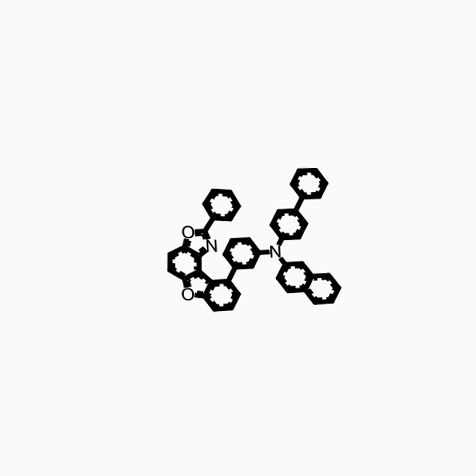 c1ccc(-c2ccc(N(c3cccc(-c4cccc5oc6ccc7oc(-c8ccccc8)nc7c6c45)c3)c3ccc4ccccc4c3)cc2)cc1